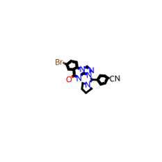 N#Cc1ccc(C(N2CCCC2)n2ncn3c4ccc(Br)cc4c(=O)nc23)cc1